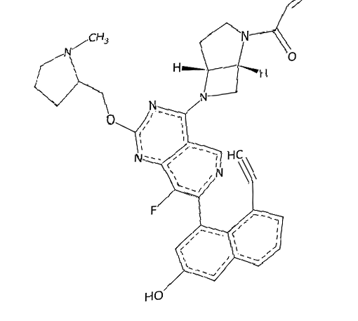 C#Cc1cccc2cc(O)cc(-c3ncc4c(N5C[C@@H]6[C@H]5CCN6C(=O)C=C)nc(OCC5CCCN5C)nc4c3F)c12